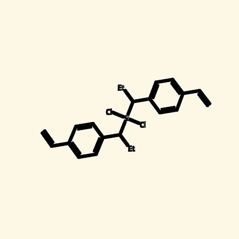 C=Cc1ccc(C(CC)[Si](Cl)(Cl)C(CC)c2ccc(C=C)cc2)cc1